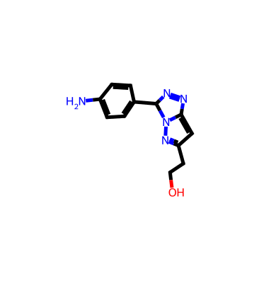 Nc1ccc(C2N=Nc3cc(CCO)nn32)cc1